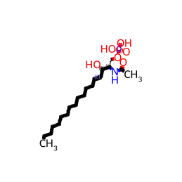 CCCCCCCCCCCCC/C=C/[C@@H](O)[C@H](COP(=O)(O)O)NC(C)=O